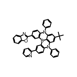 CC(C)(C)c1cc2c3c(c1)N(c1ccccc1)c1ccc(-c4nc5ccccc5o4)cc1B3c1cc(-c3ccccn3)ccc1N2c1ccccc1